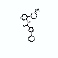 N[C@H]1CCCN(c2ccncc2NC(=O)c2csc(C3=CC=CCC3)n2)C1